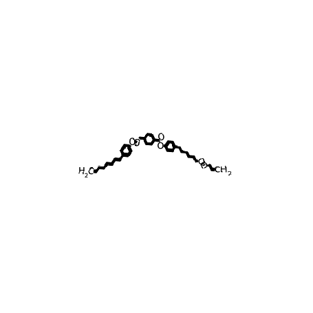 C=CCCCCCCc1ccc(OOCC2CCC(C(=O)Oc3ccc(CCCCCCOOCC=C)cc3)CC2)cc1